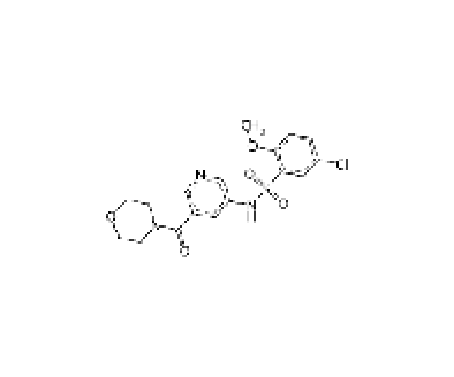 COc1ccc(Cl)cc1S(=O)(=O)Nc1cncc(C(=O)N2CCOCC2)c1